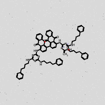 C=C(/N=C(\N=C(/N)NCCCCc1ccccc1)Nc1ccc(-c2ccc(Nc3nc(NCCCCc4ccccc4)nc(NCCCCc4ccccc4)n3)c3c2C(=O)c2ccccc2C3=O)c2c1C(=O)c1ccccc1C2=O)NCCCCc1ccccc1